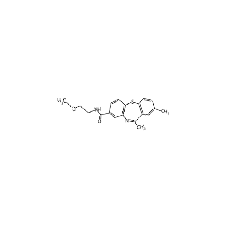 COCCNC(=O)c1ccc2c(c1)N=C(C)c1cc(C)ccc1S2